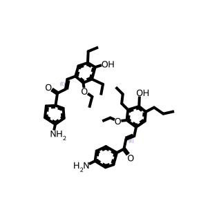 CCCc1cc(/C=C/C(=O)c2ccc(N)cc2)c(OCC)c(CCC)c1O.CCOc1c(/C=C/C(=O)c2ccc(N)cc2)cc(CC)c(O)c1CC